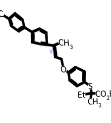 CCOC(=O)C(C)(CC)Sc1ccc(OC/C=C(\C)c2ccc(-c3ccc(C(F)(F)F)cc3)cc2)cc1